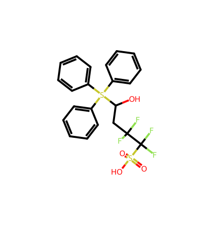 O=S(=O)(O)C(F)(F)C(F)(F)CC(O)S(c1ccccc1)(c1ccccc1)c1ccccc1